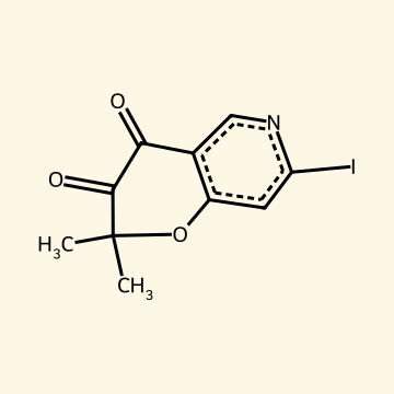 CC1(C)Oc2cc(I)ncc2C(=O)C1=O